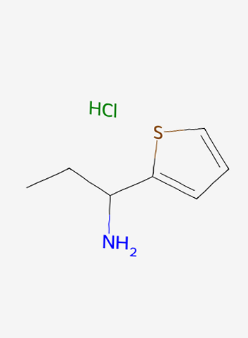 CCC(N)c1cccs1.Cl